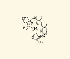 CC(C)c1c(C2(O)CCOCC2)cnc2c(F)cc(-c3nc(N[C@@H]4CCOC[C@@H]4O)ncc3Cl)cc12